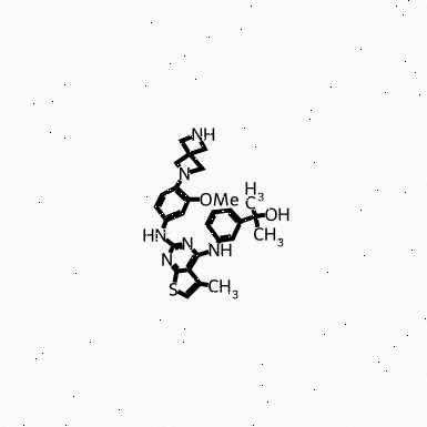 COc1cc(Nc2nc(Nc3cccc(C(C)(C)O)c3)c3c(C)csc3n2)ccc1N1CC2(CNC2)C1